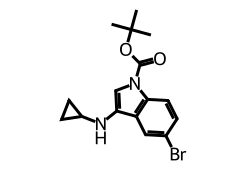 CC(C)(C)OC(=O)n1cc(NC2CC2)c2cc(Br)ccc21